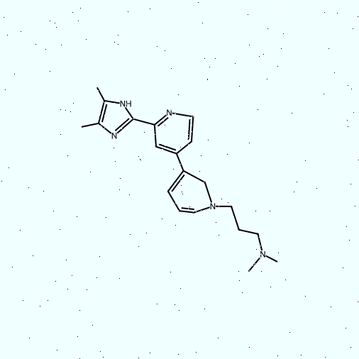 Cc1nc(-c2cc(C3=CC=CN(CCCN(C)C)C3)ccn2)[nH]c1C